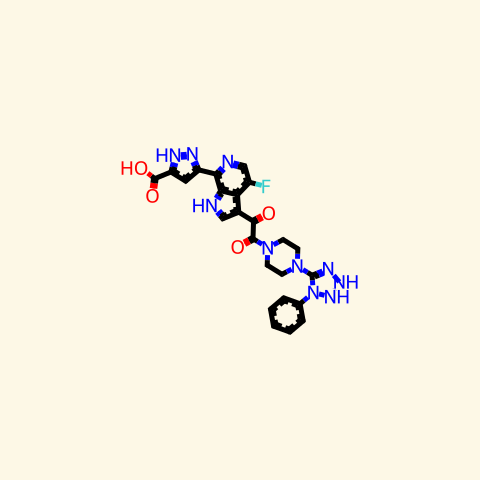 O=C(O)c1cc(-c2ncc(F)c3c(C(=O)C(=O)N4CCN(C5=NNNN5c5ccccc5)CC4)c[nH]c23)n[nH]1